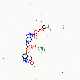 COCCOC(=O)NC1CCN(CC(O)COc2cccc3c2CCC(=O)N3)CC1.Cl